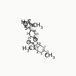 CCC1CC2CC(C1)CC(C)(C(=O)Oc1ccc(C(SC)C(C)C)cc1)C2